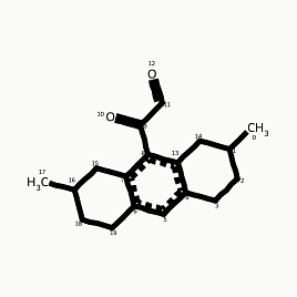 CC1CCc2cc3c(c(C(=O)C=O)c2C1)CC(C)CC3